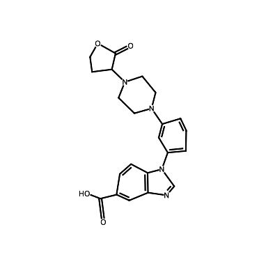 O=C(O)c1ccc2c(c1)ncn2-c1cccc(N2CCN(C3CCOC3=O)CC2)c1